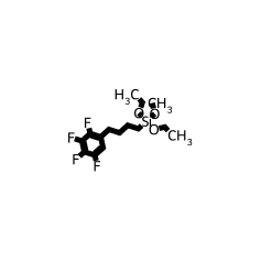 CCO[Si](CCCCc1cc(F)c(F)c(F)c1F)(OC)OCC